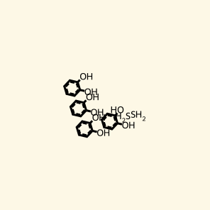 Oc1ccccc1O.Oc1ccccc1O.Oc1ccccc1O.Oc1ccccc1O.S.S